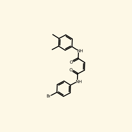 Cc1ccc(NC(=O)/C=C\C(=O)Nc2ccc(Br)cc2)cc1C